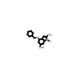 CCn1c(C)cc2c(OCc3ccccc3)cc(C=O)cc21